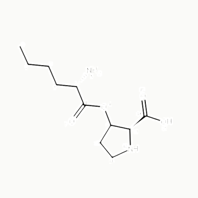 CCCC[C@H](N)C(=O)OC1CCN[C@@H]1C(=O)O